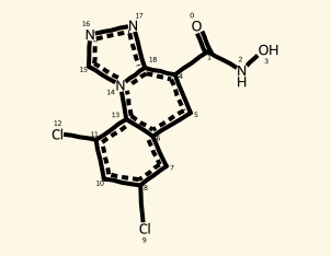 O=C(NO)c1cc2cc(Cl)cc(Cl)c2n2cnnc12